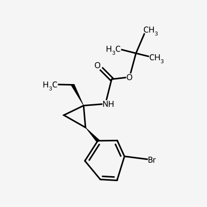 CC[C@]1(NC(=O)OC(C)(C)C)C[C@@H]1c1cccc(Br)c1